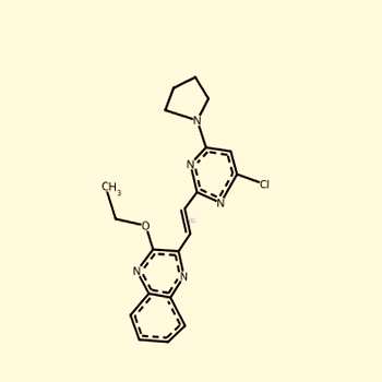 CCOc1nc2ccccc2nc1/C=C/c1nc(Cl)cc(N2CCCC2)n1